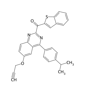 C#CCOc1ccc2nc(C(=O)c3cc4ccccc4s3)nc(-c3ccc(C(C)C)cc3)c2c1